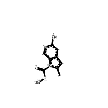 Cc1cc2cc(C#N)ncc2n1C(=O)OC(C)(C)C